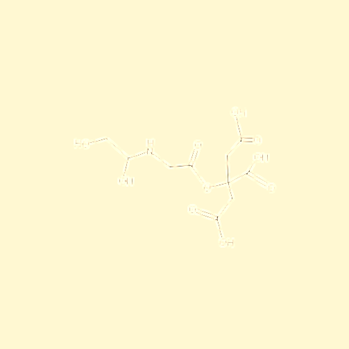 O=C(O)CC(CC(=O)O)(OC(=O)CNC(O)CO)C(=O)O